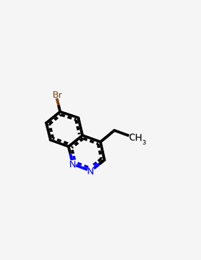 CCc1cnnc2ccc(Br)cc12